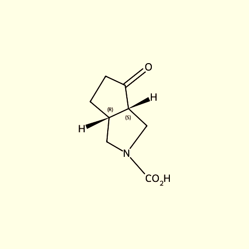 O=C1CC[C@H]2CN(C(=O)O)C[C@@H]12